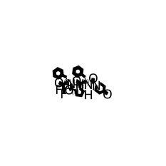 O=C1CCN(C(=O)N[C@@H](Cc2ccccc2)C(=O)N2CCC[C@H]2C(=O)N[C@@H](Cc2ccccc2)C(=O)C(F)(F)F)CC1